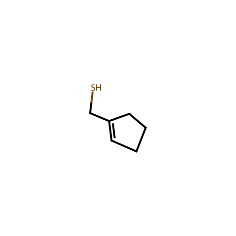 SCC1=CCCC1